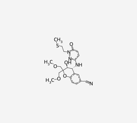 COCC1(COC)Oc2ccc(C#N)cc2[C@@H](Nc2ccc(=O)n(CCSC)n2)[C@@H]1O